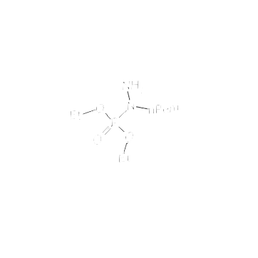 CCCCCN(N)P(=O)(OCC)OCC